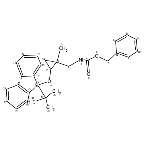 CC1(CNC(=O)OCc2ccccc2)CC1O[Si](c1ccccc1)(c1ccccc1)C(C)(C)C